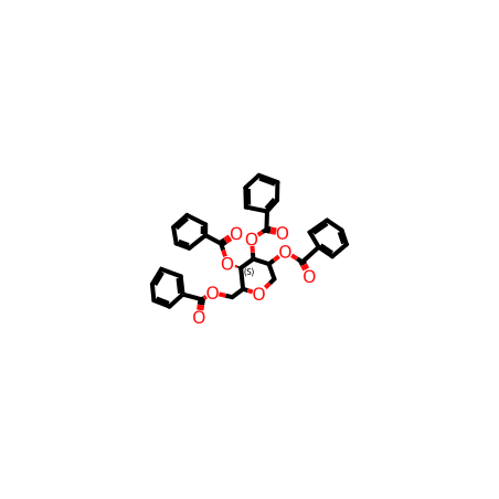 O=C(OCC1OCC(OC(=O)c2ccccc2)C(OC(=O)c2ccccc2)[C@H]1OC(=O)c1ccccc1)c1ccccc1